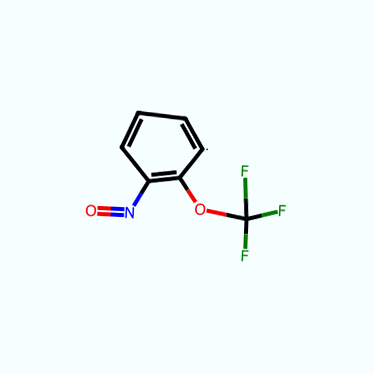 O=Nc1ccc[c]c1OC(F)(F)F